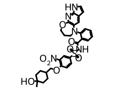 CC1(O)CCC(COc2ccc(S(=O)(=O)NC(=O)c3ccccc3N3CCCOc4nc5[nH]ccc5cc43)cc2[N+](=O)[O-])CC1